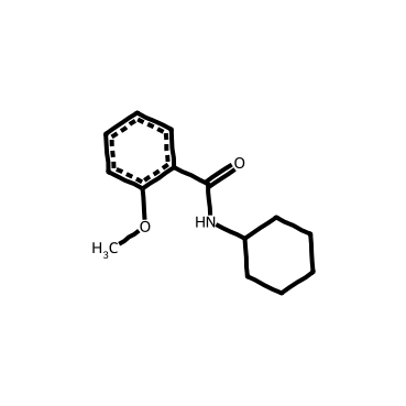 COc1ccccc1C(=O)NC1CCCCC1